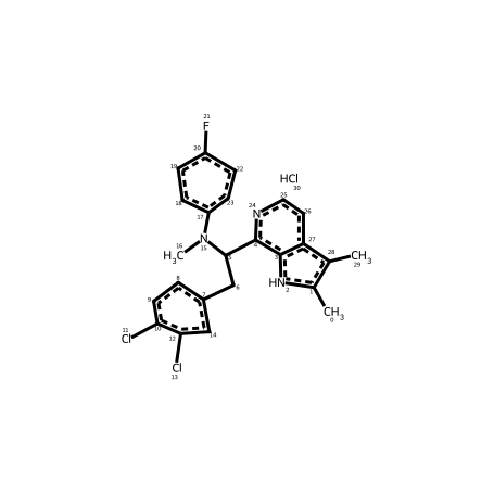 Cc1[nH]c2c(C(Cc3ccc(Cl)c(Cl)c3)N(C)c3ccc(F)cc3)nccc2c1C.Cl